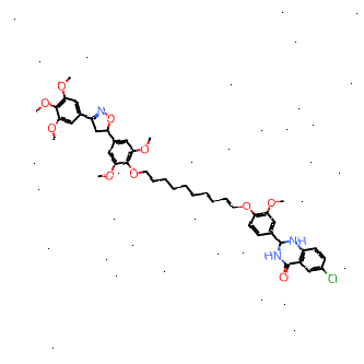 COc1cc(C2NC(=O)c3cc(Cl)ccc3N2)ccc1OCCCCCCCCCCOc1c(OC)cc(C2CC(c3cc(OC)c(OC)c(OC)c3)=NO2)cc1OC